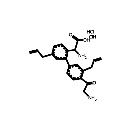 C=CCc1ccc(C(N)C(=O)O)c(-c2ccc(C(=O)CN)c(CC=C)c2)c1.Cl.Cl